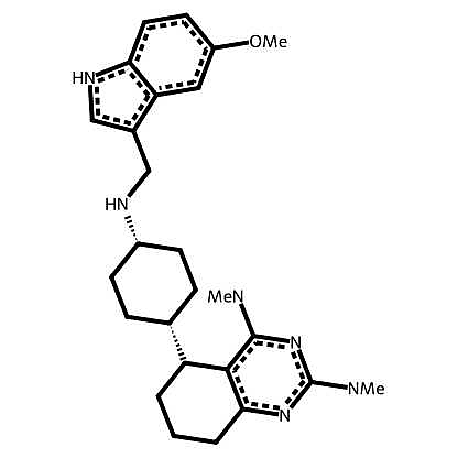 CNc1nc2c(c(NC)n1)C([C@H]1CC[C@@H](NCc3c[nH]c4ccc(OC)cc34)CC1)CCC2